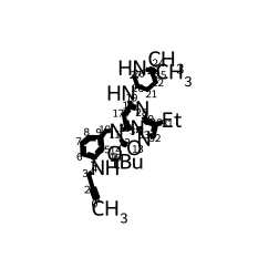 CC#CCNc1cccc(CN(C(=O)OC(C)(C)C)c2cc(N[C@H]3CCC(C)(C)NC3)nc3c(CC)cnn23)c1